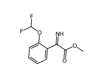 COC(=O)C(=N)c1ccccc1OC(F)F